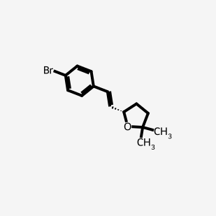 CC1(C)CC[C@@H](/C=C/c2ccc(Br)cc2)O1